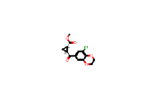 COC(=O)[C@H]1C[C@@H]1C(=O)c1cc(Cl)c2c(c1)OCCO2